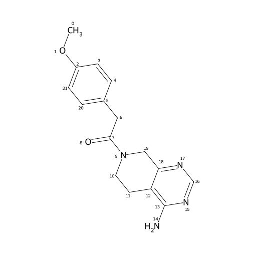 COc1ccc(CC(=O)N2CCc3c(N)ncnc3C2)cc1